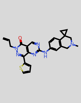 C=CCn1nc(-c2cccs2)c2nc(Nc3ccc4c(c3)CN(C)CC43CC3)ncc2c1=O